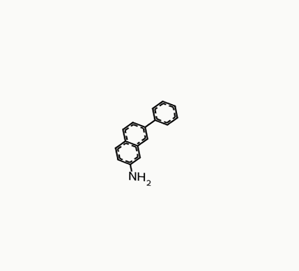 Nc1ccc2ccc(-c3ccccc3)cc2c1